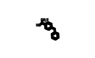 O=C(O)C(O)c1ccc(Cc2ccccc2)cc1